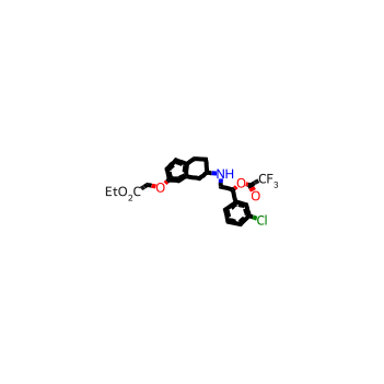 CCOC(=O)COc1ccc2c(c1)CC(NCC(OC(=O)C(F)(F)F)c1cccc(Cl)c1)CC2